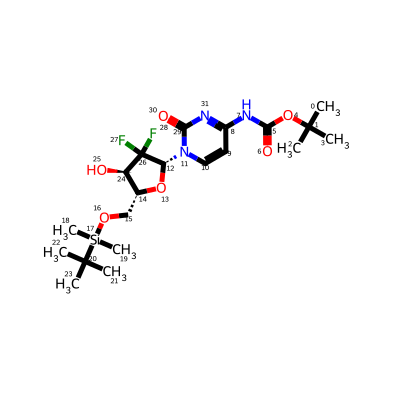 CC(C)(C)OC(=O)Nc1ccn([C@@H]2O[C@H](CO[Si](C)(C)C(C)(C)C)[C@@H](O)C2(F)F)c(=O)n1